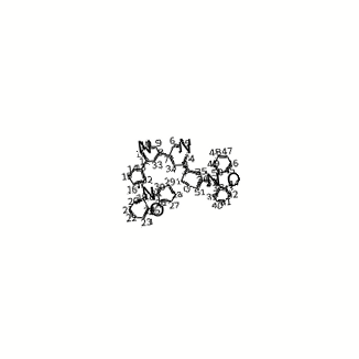 c1cc(-c2cncc(-c3cncc(-c4cccc(N5c6ccccc6Oc6ccccc65)c4)c3)c2)cc(N2c3ccccc3Oc3ccccc32)c1